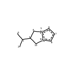 CC(C)C1Cn2ccc[n+]2C1